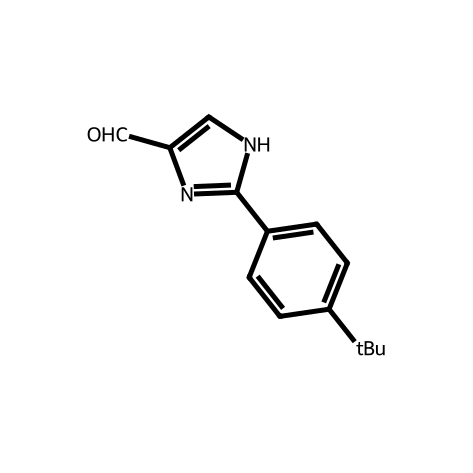 CC(C)(C)c1ccc(-c2nc(C=O)c[nH]2)cc1